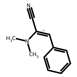 CN(C)/C(C#N)=C\c1ccccc1